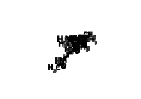 CCC(=O)NCCCCCNC(=O)C(C)(CC(C)(C)C(N)=O)CC(C)(CC)C(=O)NC(C)C